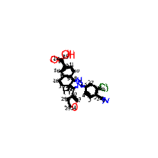 N#Cc1ccc(N2N=C3c4ccc(C(=O)O)cc4CC[C@@H]3[C@@H]2C2=COCC2)cc1Cl